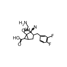 CCC12C(CC(Cc3ccc(F)c(F)c3)C1(C#N)C(=O)CN)C2C(=O)O